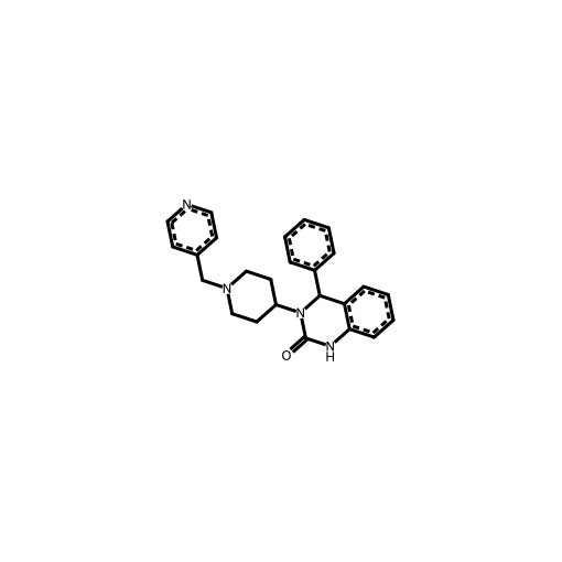 O=C1Nc2ccccc2C(c2ccccc2)N1C1CCN(Cc2ccncc2)CC1